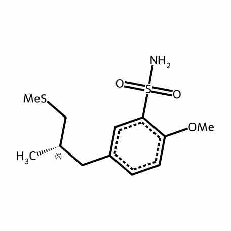 COc1ccc(C[C@H](C)CSC)cc1S(N)(=O)=O